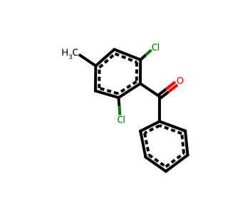 Cc1cc(Cl)c(C(=O)c2ccccc2)c(Cl)c1